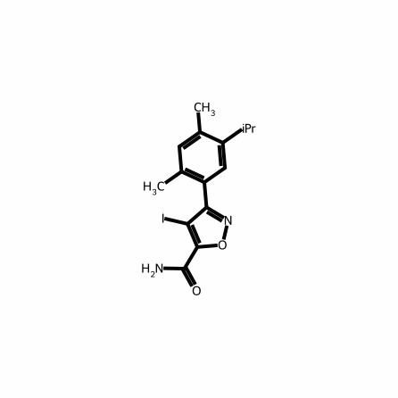 Cc1cc(C)c(C(C)C)cc1-c1noc(C(N)=O)c1I